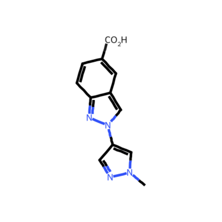 Cn1cc(-n2cc3cc(C(=O)O)ccc3n2)cn1